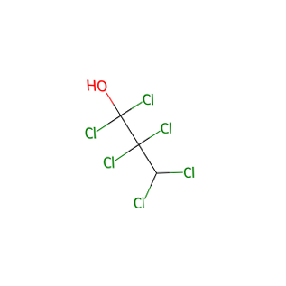 OC(Cl)(Cl)C(Cl)(Cl)C(Cl)Cl